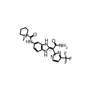 CN1CCCC[C@H]1C(=O)Nc1ccc2c(c1)N/C(=C(\C(N)=O)c1nccc(C(F)(F)F)n1)N2